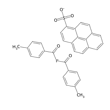 Cc1ccc(C(=O)[I+]C(=O)c2ccc(C)cc2)cc1.O=S(=O)([O-])c1ccc2ccc3cccc4ccc1c2c34